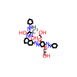 Cc1nn(-c2cccc3ccc(/N=N/c4cc(OCCO)c(/N=N/c5ccccc5)cc4OCCO)c(O)c23)c(O)c1/N=N/c1ccccc1